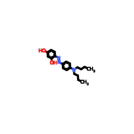 CCCCN(CCCC)c1ccc(/N=N/c2ccc(O)cc2O)cc1